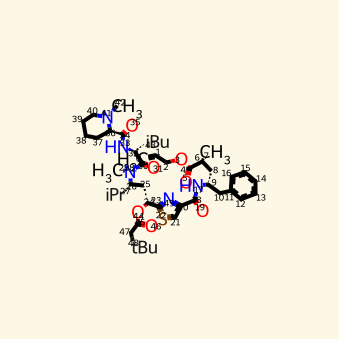 C=CCOC(=O)[C@@H](C)C[C@H](Cc1ccccc1)NC(=O)c1csc([C@@H](C[C@H](C(C)C)N(C)C(=O)[C@@H](NC(=O)[C@H]2CCCCN2C)[C@@H](C)CC)OC(=O)CC(C)(C)C)n1